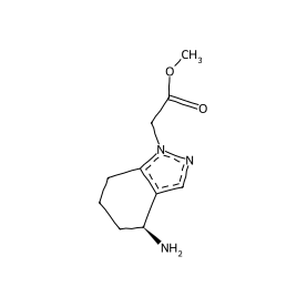 COC(=O)Cn1ncc2c1CCC[C@@H]2N